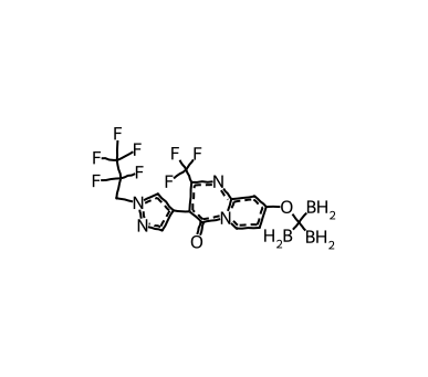 BC(B)(B)Oc1ccn2c(=O)c(-c3cnn(CC(F)(F)C(F)(F)F)c3)c(C(F)(F)F)nc2c1